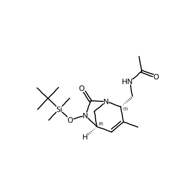 CC(=O)NC[C@@H]1C(C)=C[C@@H]2CN1C(=O)N2O[Si](C)(C)C(C)(C)C